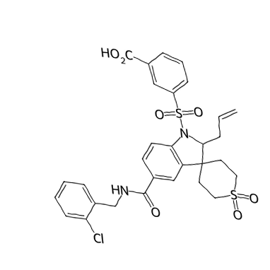 C=CCC1N(S(=O)(=O)c2cccc(C(=O)O)c2)c2ccc(C(=O)NCc3ccccc3Cl)cc2C12CCS(=O)(=O)CC2